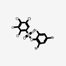 O=S(=O)(Oc1c(Br)cc(Br)cc1Br)c1cc(Cl)c(Cl)c(Cl)c1Cl